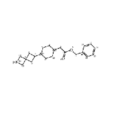 O=C(CN1CCN(C2CC3(CNC3)C2)CC1)OCc1ccccc1